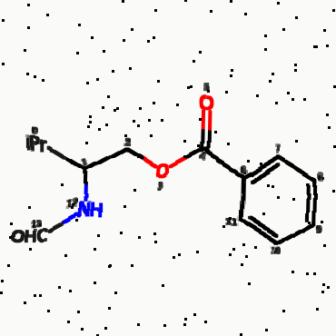 CC(C)C(COC(=O)c1ccccc1)NC=O